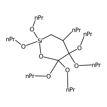 CCCOC1(OCCC)O[Si](OCCC)(OCCC)CC(CCC)C1(OCCC)OCCC